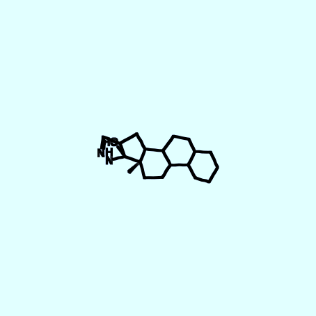 C[C@]12CCC3C4CCCCC4CCC3C1CC1C=NNC12O